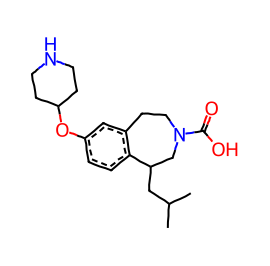 CC(C)CC1CN(C(=O)O)CCc2cc(OC3CCNCC3)ccc21